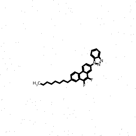 CCCCCCCCc1ccc2c(c1)c(F)c(F)c1cc(-n3nnc4ccccc43)ccc12